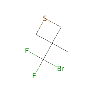 CC1(C(F)(F)Br)CSC1